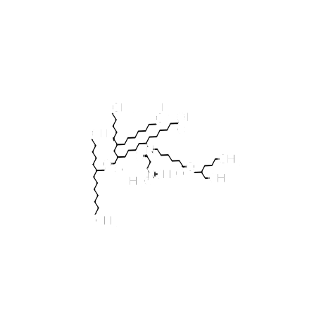 CCCCCCCCC(CCCCCC)COC(=O)C(CCCCC(CCCCCC(=O)O)N(CCCCCC(=O)OCC(CC)CCCC)C(=O)CCN(C)C)CC(CCCCCC)CCCCCCCC